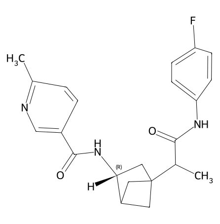 Cc1ccc(C(=O)N[C@@H]2CC3(C(C)C(=O)Nc4ccc(F)cc4)CC2C3)cn1